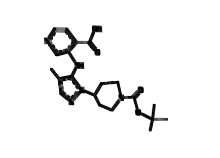 Cc1cnn(C2CCN(C(=O)OC(C)(C)C)CC2)c1Nc1cnccc1C(=O)O